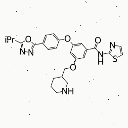 CC(C)c1nnc(-c2ccc(Oc3cc(OCC4CCCNC4)cc(C(=O)Nc4nccs4)c3)cc2)o1